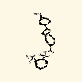 COc1ccc(-c2cc3cc(C(=O)NS(=O)(=O)c4ccccc4S(N)(=O)=O)ccc3o2)cc1